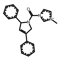 C[n+]1ccn(C(=O)N2CC(c3ccccc3)=CC2c2ccccc2)c1